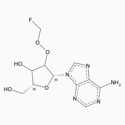 Nc1ncnc2c1ncn2[C@@H]1O[C@H](CO)C(O)C1OOCF